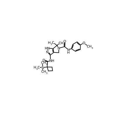 COc1ccc(NC(=O)N2Cc3c(NC(=O)C4([Si](C)(C)C)CCC4)n[nH]c3C2(C)C)cc1